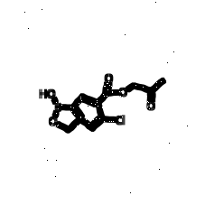 CC(=O)COC(=O)c1cc2c(cc1Cl)COB2O